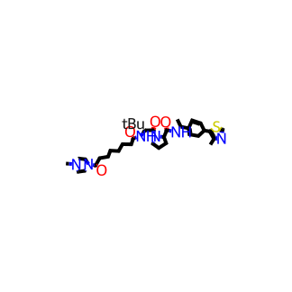 Cc1ncsc1C1C=CC(C(C)NC(=O)C2CCCN2C(=O)C(NC(=O)CCCCCCC(=O)N2CCN(C)CC2)C(C)(C)C)=CC1